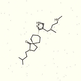 CNCCN(C)Cc1c[nH]nc1[C@H]1CC[C@]2(CCN(CCC(C)C)C2=O)CC1